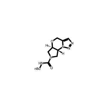 CCCCNC(=O)N1C[C@@H]2[C@@H](C1)OCc1cnnn12